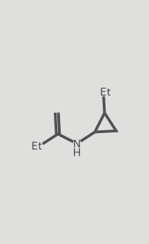 C=C(CC)NC1CC1CC